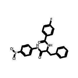 O=C(NC(Cc1ccccc1)C(=O)Nc1ccc([S+]([O-])Cl)cc1)c1ccc(F)cc1